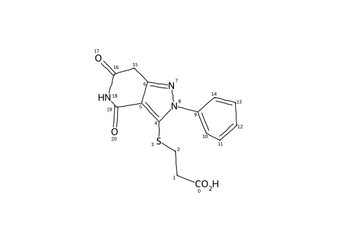 O=C(O)CCSc1c2c(nn1-c1ccccc1)CC(=O)NC2=O